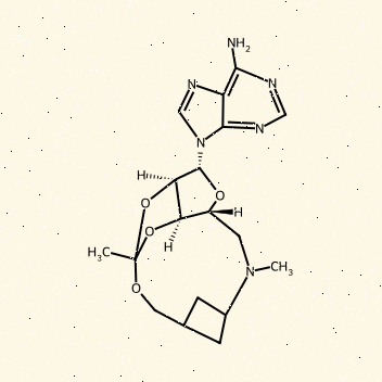 CN1C[C@H]2O[C@@H](n3cnc4c(N)ncnc43)[C@@H]3OC(C)(OCC4CC1C4)O[C@@H]32